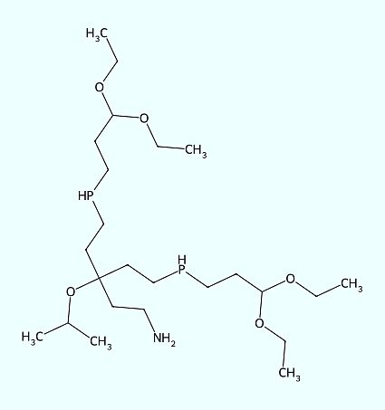 CCOC(CCPCCC(CCN)(CCPCCC(OCC)OCC)OC(C)C)OCC